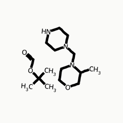 CC(C)(C)OC=O.CC1COCCN1CN1CCNCC1